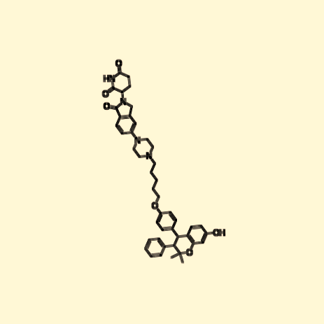 CC1(C)Oc2cc(O)ccc2C(c2ccc(OCCCCCN3CCN(c4ccc5c(c4)CN(C4CCC(=O)NC4=O)C5=O)CC3)cc2)C1c1ccccc1